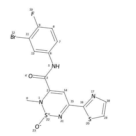 CN1C(C(=O)Nc2ccc(F)c(Br)c2)=CC(c2nccs2)=N[S+]1[O-]